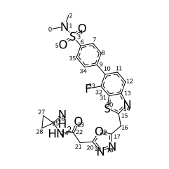 CN(C)S(=O)(=O)c1ccc(-c2ccc3nc(Cc4nnc(CC(=O)NC5(N)CC5)o4)sc3c2F)cc1